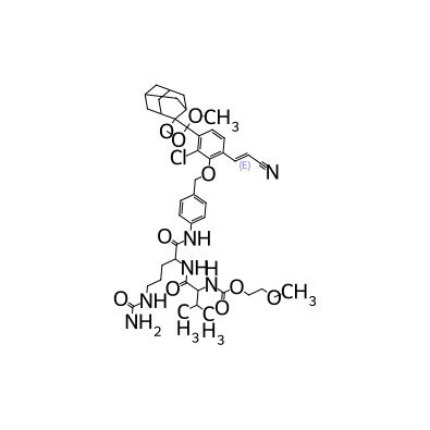 COCCOC(=O)NC(C(=O)NC(CCCNC(N)=O)C(=O)Nc1ccc(COc2c(/C=C/C#N)ccc(C3(OC)OOC34C3CC5CC(C3)CC4C5)c2Cl)cc1)C(C)C